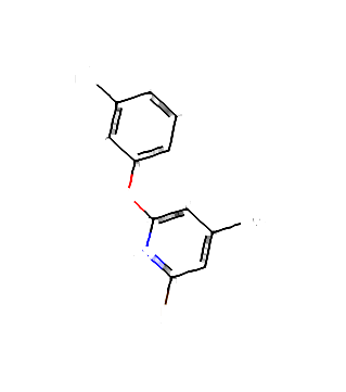 CSc1cc(Br)nc(Oc2cccc(C(F)(F)F)c2)c1